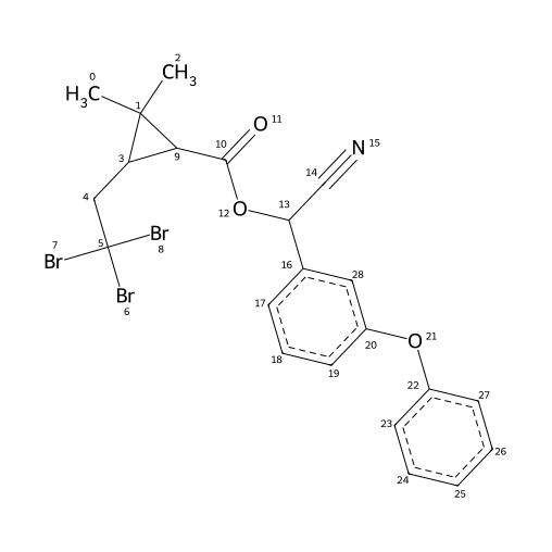 CC1(C)C(CC(Br)(Br)Br)C1C(=O)OC(C#N)c1cccc(Oc2ccccc2)c1